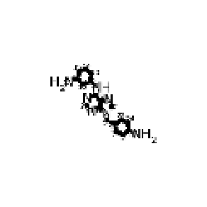 Nc1ccc(Cn2cnc3c(Nc4cccc(N)c4)ncnc32)cc1